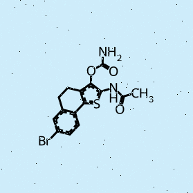 CC(=O)Nc1sc2c(c1OC(N)=O)CCc1cc(Br)ccc1-2